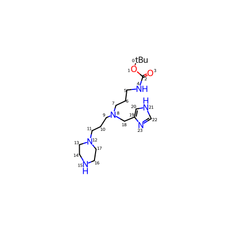 CC(C)(C)OC(=O)NCCCN(CCCN1CCNCC1)Cc1c[nH]cn1